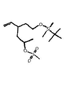 C=CC(CCO[Si](C)(C)C(C)(C)C)CC(C)OS(C)(=O)=O